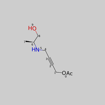 CC(=O)OCC#CCN[C@@H](C)CO